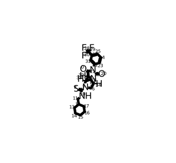 O=C1[C@H]2[C@@H]3C[C@@H](CN3C(=S)NCC3CCCCC3)N2C(=O)N1c1cccc(C(F)(F)F)c1